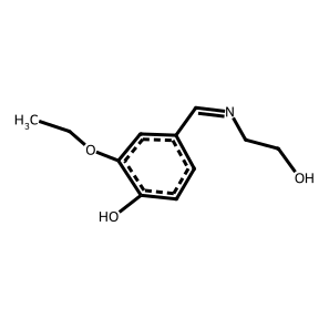 CCOc1cc(/C=N\CCO)ccc1O